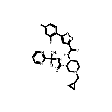 CC(C)(NC(=O)[C@H]1CN(CC2CC2)CC[C@@H]1NC(=O)c1cc(-c2ccc(F)cc2F)on1)c1ncccn1